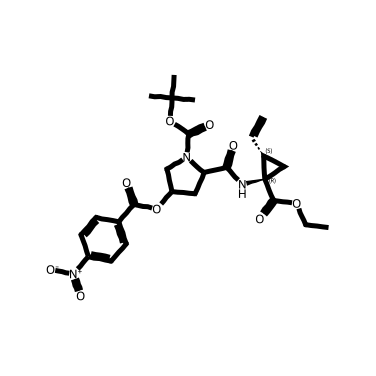 C=C[C@@H]1C[C@]1(NC(=O)C1CC(OC(=O)c2ccc([N+](=O)[O-])cc2)CN1C(=O)OC(C)(C)C)C(=O)OCC